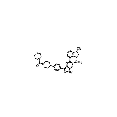 COc1cc2[nH]nc(-c3ccc(C4CCN(C(=O)N5CCOCC5)CC4)nc3)c2nc1-c1cccc2c1CCC2C#N